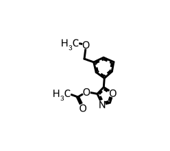 COCc1cccc(-c2ocnc2OC(C)=O)c1